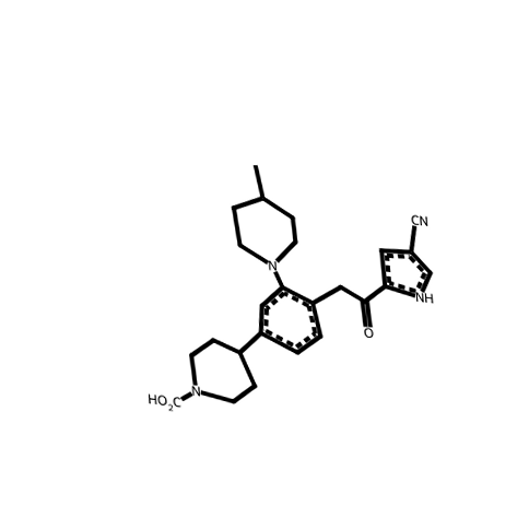 CC1CCN(c2cc(C3CCN(C(=O)O)CC3)ccc2CC(=O)c2cc(C#N)c[nH]2)CC1